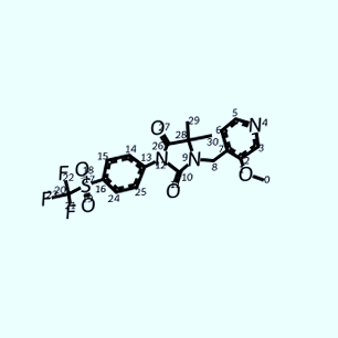 COc1cnccc1CN1C(=O)N(c2ccc(S(=O)(=O)C(F)(F)F)cc2)C(=O)C1(C)C